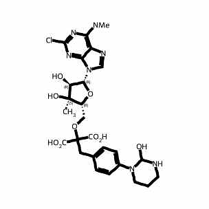 CNc1nc(Cl)nc2c1ncn2[C@@H]1O[C@H](COC(Cc2ccc(N3CCCNC3O)cc2)(C(=O)O)C(=O)O)[C@@](C)(O)[C@H]1O